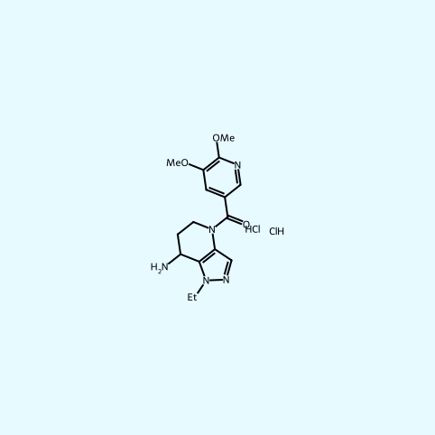 CCn1ncc2c1C(N)CCN2C(=O)c1cnc(OC)c(OC)c1.Cl.Cl